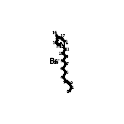 CCC#CCCCCCCCC[n+]1ccc(C)cc1.[Br-]